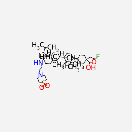 C=C(C)[C@@H]1CCC2(NCCN3CCS(=O)(=O)CC3)CC[C@]3(C)[C@H](CC[C@@H]4[C@@]5(C)CC=C(C6=CC[C@@](CCF)(C(=O)O)CC6)C(C)(C)[C@@H]5CC[C@]43C)[C@@H]12